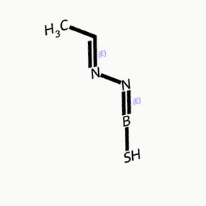 C/C=N/N=B/S